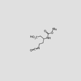 CC(C)(C)OC(=O)NC(CCN=C=O)CC(=O)O